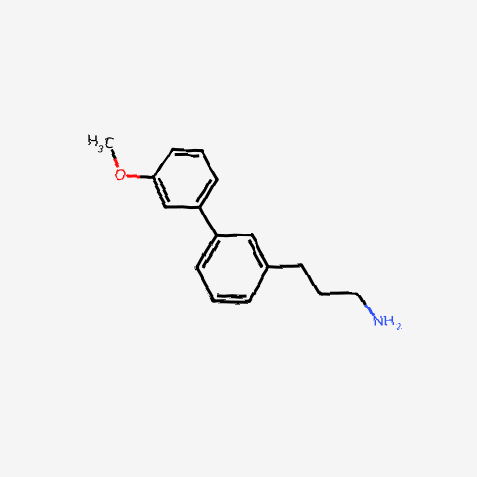 COc1cccc(-c2cccc(CCCN)c2)c1